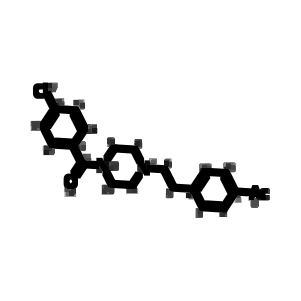 CC(=O)c1ccc(CCN2CCN(C(=O)c3ccc(Cl)cc3)CC2)cc1